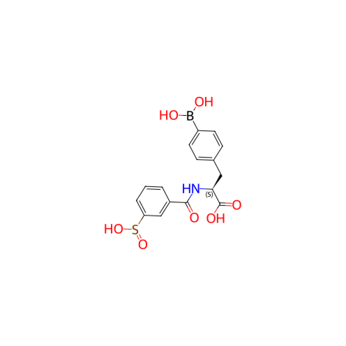 O=C(N[C@@H](Cc1ccc(B(O)O)cc1)C(=O)O)c1cccc(S(=O)O)c1